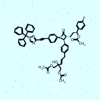 CC(=O)OCC(O)(C=CCc1ccc([C@@H]2[C@@H](CC[C@H](OC(C)=O)c3ccc(F)cc3)C(=O)N2c2ccc(C#Cc3ncn(C(c4ccccc4)(c4ccccc4)c4ccccc4)n3)cc2)cc1)COC(C)=O